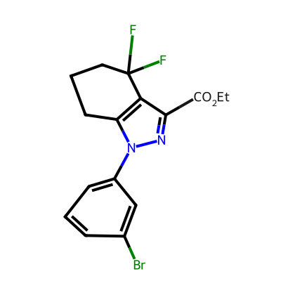 CCOC(=O)c1nn(-c2cccc(Br)c2)c2c1C(F)(F)CCC2